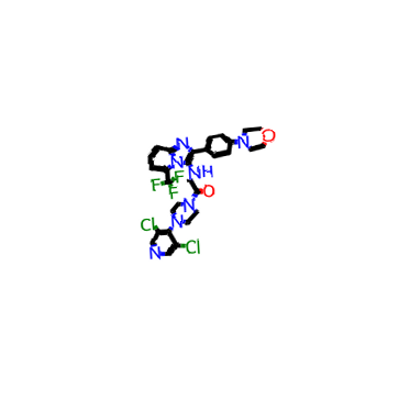 O=C(CNc1c(-c2ccc(N3CCOCC3)cc2)nc2cccc(C(F)(F)F)n12)N1CCN(c2c(Cl)cncc2Cl)CC1